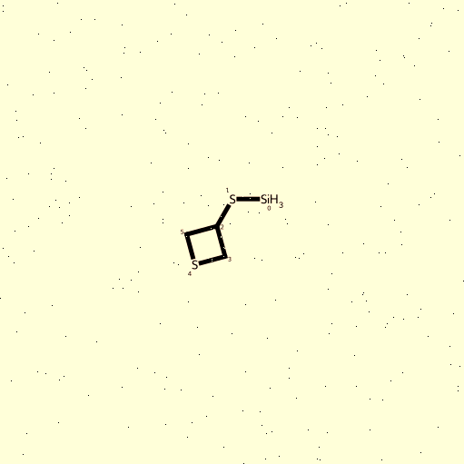 [SiH3]SC1CSC1